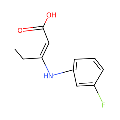 CCC(=CC(=O)O)Nc1cccc(F)c1